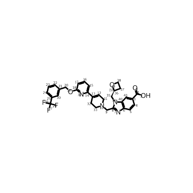 O=C(O)c1ccc2nc(CN3CC=C(c4cccc(OCc5cccc(C(F)(F)F)c5)n4)CC3)n(C[C@@H]3CCO3)c2c1